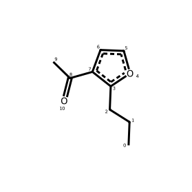 CCCc1occc1C(C)=O